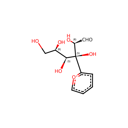 O=C[C@H](O)[C@](O)(c1cccc[o+]1)[C@@H](O)[C@H](O)CO